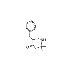 CC1(C)CC(=O)C(Cc2ccccc2)CN1